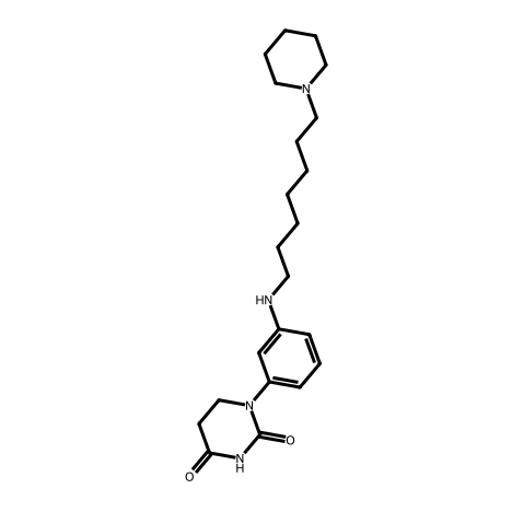 O=C1CCN(c2cccc(NCCCCCCCN3CCCCC3)c2)C(=O)N1